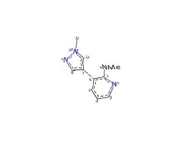 CNc1ncccc1-c1cnn(C)c1